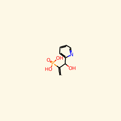 [CH]=C(C(O)c1ccccn1)P(=O)(O)O